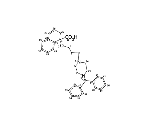 O=C(O)C1(OCCCN2CCN(C(c3ccccc3)c3ccccc3)CC2)CC=Cc2ccccc21